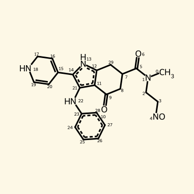 CN(CCN=O)C(=O)C1CC(=O)c2c([nH]c(C3=CCNC=C3)c2Nc2ccccc2)C1